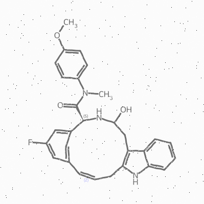 COc1ccc(N(C)C(=O)[C@H]2NC(O)Cc3c([nH]c4ccccc34)C/C=C\c3cc(F)cc2c3)cc1